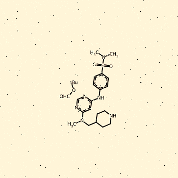 CC(C)(C)OC=O.CN(CC1CCNCC1)c1cc(Nc2ccc(S(=O)(=O)N(C)C)cc2)ncn1